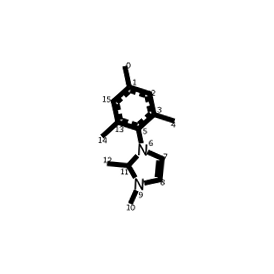 Cc1cc(C)c(N2C=CN(C)C2C)c(C)c1